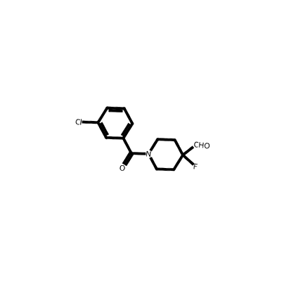 O=CC1(F)CCN(C(=O)c2cccc(Cl)c2)CC1